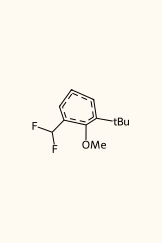 COc1c(C(F)F)cccc1C(C)(C)C